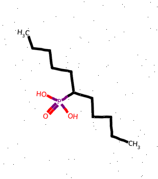 CCCCCC(CCCCC)P(=O)(O)O